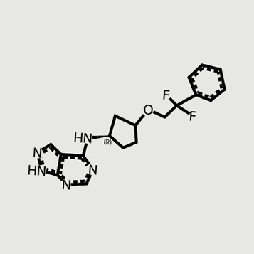 FC(F)(COC1CC[C@@H](Nc2ncnc3[nH]ncc23)C1)c1ccccc1